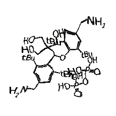 CC(C)(C)c1cc(CN)cc(C(C)(C)C)c1OC(c1c(C(C)(C)C)cc(CN)cc1C(C)(C)C)C(CO)(CO)CO.O=P(O)(O)OP(=O)(O)O